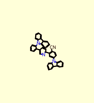 N#Cc1ccc(-n2c3ccccc3c3ccccc32)cc1-c1ccc(-c2ccccc2-n2c3ccccc3c3ccccc32)cn1